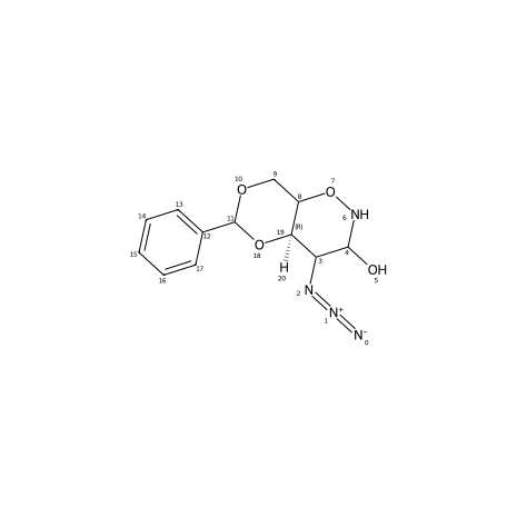 [N-]=[N+]=NC1C(O)NOC2COC(c3ccccc3)O[C@@H]21